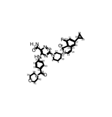 NC(=O)c1nnc(N2CCC[C@@H](n3ccc4cc(C5CC5)cc(F)c4c3=O)C2)nc1Nc1ccc(C(=O)N2CCOCC2)cc1